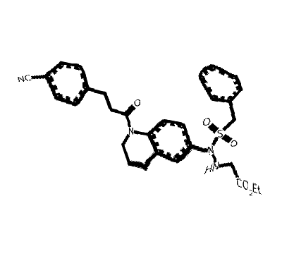 CCOC(=O)CNN(c1ccc2c(c1)CCCN2C(=O)CCc1ccc(C#N)cc1)S(=O)(=O)Cc1ccccc1